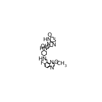 COc1cnc2ccc(F)c(CN[C@H]3CC[C@](CO)(NCc4cnc5c(n4)NC(=O)CS5)CC3)c2n1